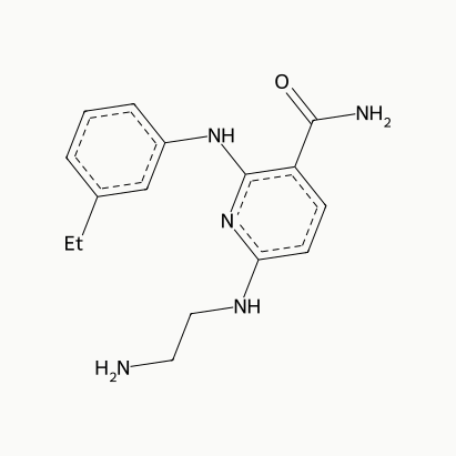 CCc1cccc(Nc2nc(NCCN)ccc2C(N)=O)c1